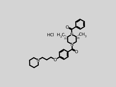 C[C@@H]1CN(C(=O)c2ccc(OCCCN3CCCCC3)cc2)C[C@H](C)N1C(=O)c1ccccc1.Cl